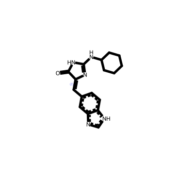 O=C1NC(NC2CCCCC2)=N/C1=C\c1ccc2[nH]cnc2c1